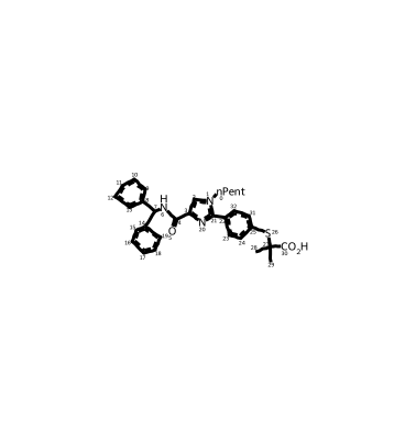 CCCCCn1cc(C(=O)NC(c2ccccc2)c2ccccc2)nc1-c1ccc(SC(C)(C)C(=O)O)cc1